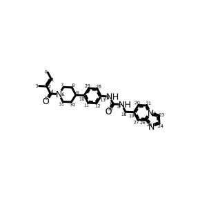 CC=C(C)C(=O)N1CCC(c2ccc(NC(=O)NCc3ccn4ccnc4c3)cc2)CC1